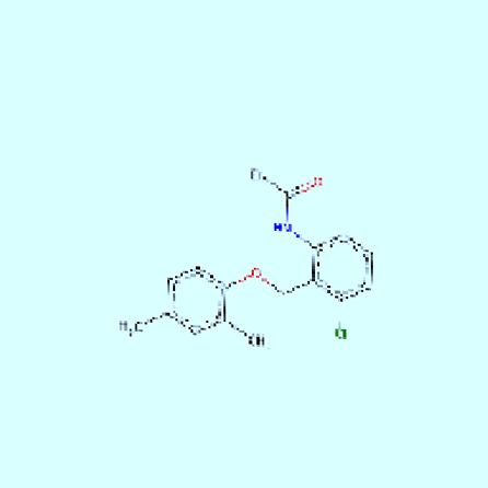 CCC(=O)Nc1cccc(Cl)c1COc1ccc(C)cc1C